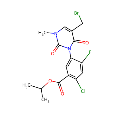 CC(C)OC(=O)c1cc(-n2c(=O)c(CBr)cn(C)c2=O)c(F)cc1Cl